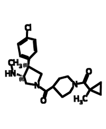 CN[C@H]1CN(C(=O)C2CCN(C(=O)C3(C)CC3)CC2)C[C@@H]1c1ccc(Cl)cc1